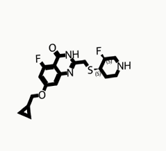 O=c1[nH]c(CS[C@H]2CCNC[C@@H]2F)nc2cc(OCC3CC3)cc(F)c12